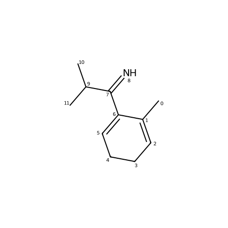 CC1=CCCC=C1C(=N)C(C)C